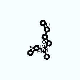 c1ccc(C2=NC(c3cccc4c3oc3ccc(-c5ccc6oc7ccccc7c6c5)cc34)NC(c3ccc4sc5ccccc5c4c3)N2)cc1